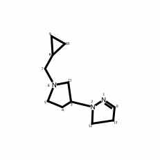 C1=NN(C2CCN(CC3CC3)C2)CC1